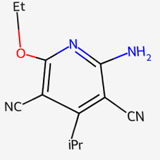 CCOc1nc(N)c(C#N)c(C(C)C)c1C#N